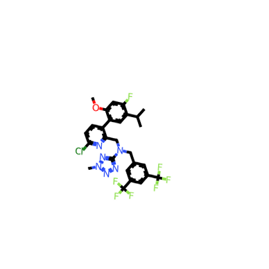 COc1cc(F)c(C(C)C)cc1-c1ccc(Cl)nc1CN(Cc1cc(C(F)(F)F)cc(C(F)(F)F)c1)c1nnn(C)n1